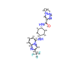 Cn1cc(C(=O)N[C@H]2CC[C@@H](Nc3cccc4nc(C(F)(F)F)cn34)CC2)nn1